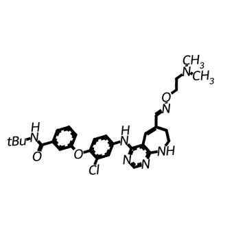 CN(C)CCON=CC1=Cc2c(ncnc2Nc2ccc(Oc3cccc(C(=O)NC(C)(C)C)c3)c(Cl)c2)NCC1